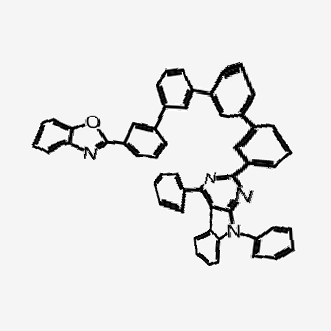 c1ccc(-c2nc(-c3cccc(-c4cccc(-c5cccc(-c6cccc(-c7nc8ccccc8o7)c6)c5)c4)c3)nc3c2c2ccccc2n3-c2ccccc2)cc1